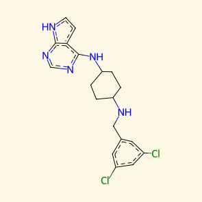 Clc1cc(Cl)cc(CNC2CCC(Nc3ncnc4[nH]ccc34)CC2)c1